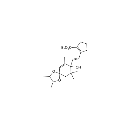 CCOC(=O)C1=C(/C=C/C2(O)C(C)=CC3(CC2(C)C)OC(C)C(C)O3)CCC1